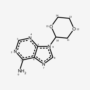 Nc1ncnc2c1ncn2C1COCCO1